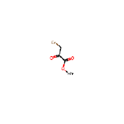 CCCOC(=O)C(=O)CBr